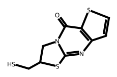 O=c1c2sccc2nc2n1CC(CS)S2